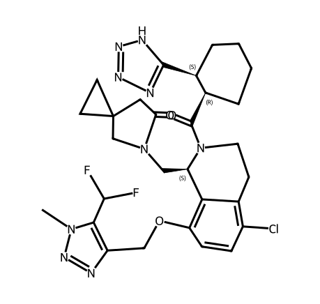 Cn1nnc(COc2ccc(Cl)c3c2[C@@H](CN2CC4(CC4)CC2=O)N(C(=O)[C@@H]2CCCC[C@@H]2c2nnn[nH]2)CC3)c1C(F)F